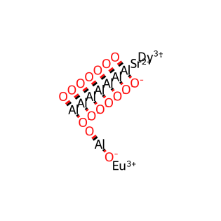 [Dy+3].[Eu+3].[O]=[Al][O-].[O]=[Al][O-].[O]=[Al][O-].[O]=[Al][O-].[O]=[Al][O-].[O]=[Al][O-].[O]=[Al][O-].[O]=[Al][O-].[Sr+2]